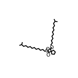 CC(C)CCCCCCCCCCCOC(=O)C1(C(=O)OCCCCCCCCCCCC(C)C)CCCC1